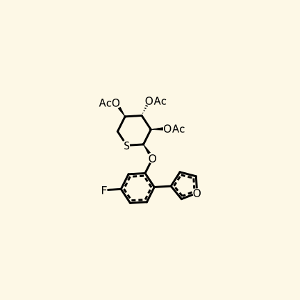 CC(=O)O[C@@H]1[C@@H](OC(C)=O)[C@@H](Oc2cc(F)ccc2-c2ccoc2)SC[C@H]1OC(C)=O